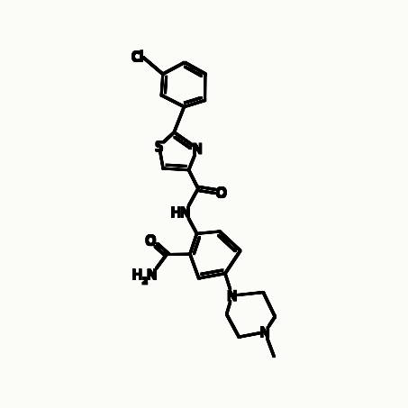 CN1CCN(c2ccc(NC(=O)c3csc(-c4cccc(Cl)c4)n3)c(C(N)=O)c2)CC1